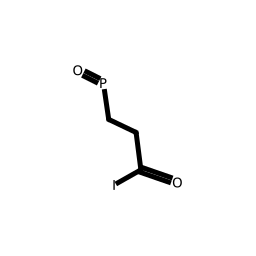 O=PCCC(=O)I